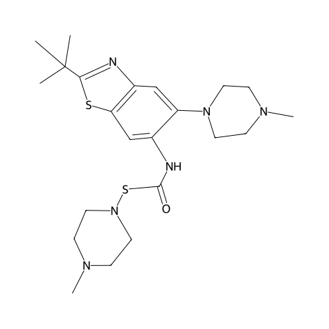 CN1CCN(SC(=O)Nc2cc3sc(C(C)(C)C)nc3cc2N2CCN(C)CC2)CC1